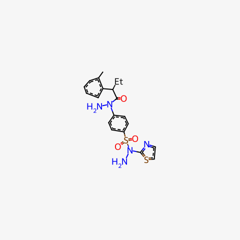 CCC(C(=O)N(N)c1ccc(S(=O)(=O)N(N)c2nccs2)cc1)c1ccccc1C